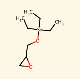 CC[Si](CC)(CC)OCC1CO1